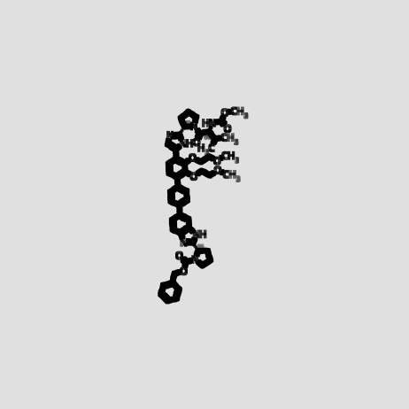 COCCOc1c(-c2ccc(-c3ccc4nc([C@@H]5CCCN5C(=O)OCc5ccccc5)[nH]c4c3)cc2)ccc(-c2cnc([C@@H]3CCCN3C(=O)[C@@H](NC(=O)OC)C(C)C)[nH]2)c1OCCOC